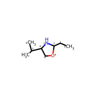 CCC1NC(C(C)C)CO1